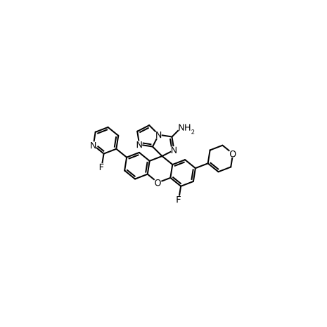 NC1=NC2(c3cc(-c4cccnc4F)ccc3Oc3c(F)cc(C4=CCOCC4)cc32)c2nccn21